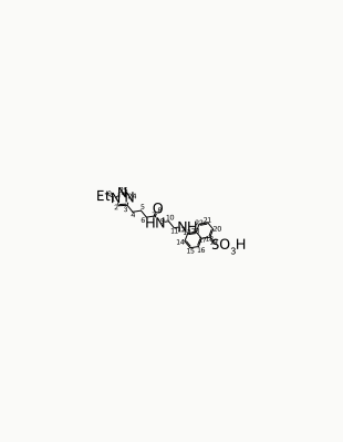 CCn1cc(CCCC(=O)NCCNc2cccc3c(S(=O)(=O)O)cccc23)nn1